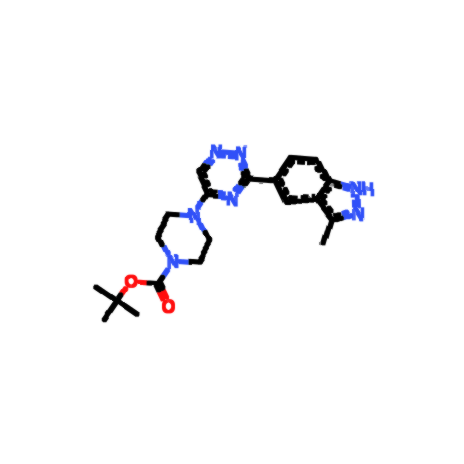 Cc1n[nH]c2ccc(-c3nncc(N4CCN(C(=O)OC(C)(C)C)CC4)n3)cc12